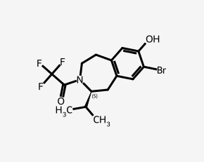 CC(C)[C@@H]1Cc2cc(Br)c(O)cc2CCN1C(=O)C(F)(F)F